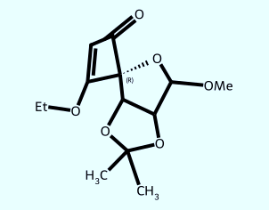 CCOC1=CC(=O)[C@]12OC(OC)C1OC(C)(C)OC12